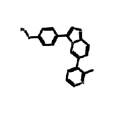 Cc1ncccc1-c1ccc2ncc(-c3ccc(SC(C)C)cc3)n2c1